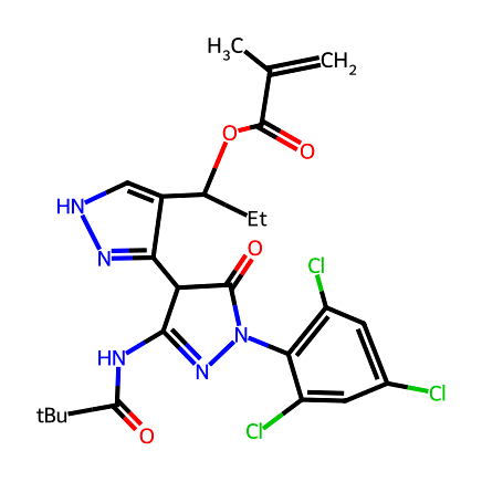 C=C(C)C(=O)OC(CC)c1c[nH]nc1C1C(=O)N(c2c(Cl)cc(Cl)cc2Cl)N=C1NC(=O)C(C)(C)C